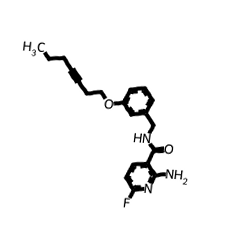 CCCC#CCCOc1cccc(CNC(=O)c2ccc(F)nc2N)c1